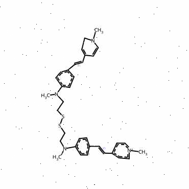 CN1C=CC(/C=C/c2ccc(N(C)CCSSCCN(C)c3ccc(/C=C/c4cc[n+](C)cc4)cc3)cc2)=CC1